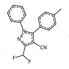 Cc1ccc(-c2c(C#N)c(C(F)F)nn2-c2ccccc2)cc1